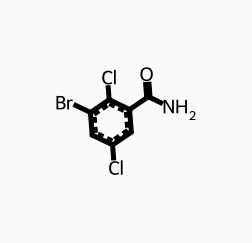 NC(=O)c1cc(Cl)cc(Br)c1Cl